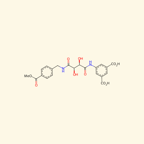 COC(=O)c1ccc(CNC(=O)[C@H](O)[C@@H](O)C(=O)Nc2cc(C(=O)O)cc(C(=O)O)c2)cc1